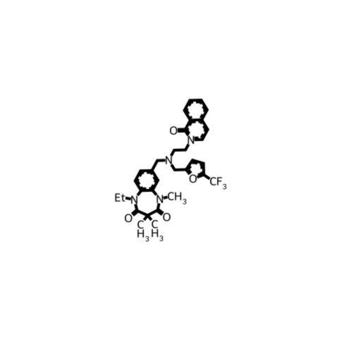 CCN1C(=O)C(C)(C)C(=O)N(C)c2cc(CN(CCn3ccc4ccccc4c3=O)Cc3ccc(C(F)(F)F)o3)ccc21